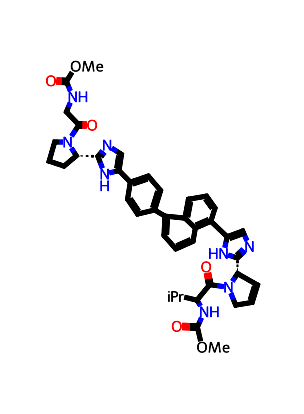 COC(=O)NCC(=O)N1CCC[C@H]1c1ncc(-c2ccc(-c3cccc4c(-c5cnc([C@@H]6C=CCN6C(=O)C(NC(=O)OC)C(C)C)[nH]5)cccc34)cc2)[nH]1